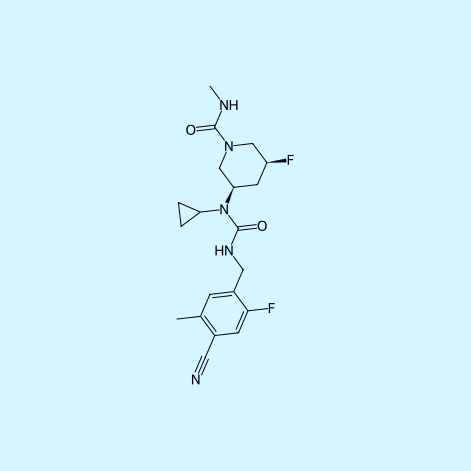 CNC(=O)N1C[C@@H](F)C[C@@H](N(C(=O)NCc2cc(C)c(C#N)cc2F)C2CC2)C1